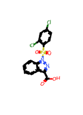 O=C(O)c1nn(S(=O)(=O)c2ccc(Cl)cc2Cl)c2ccccc12